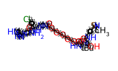 Cc1ncsc1-c1ccc(CNC(=O)C2C[C@@H](O)CN2C(=O)[C@@H](NC(=O)COCCOCCOCCOCCOCC(=O)N2CCN(CC[C@H](NC(=O)C3(N)CCN(c4ncnc5[nH]ccc45)CC3)c3ccc(Cl)cc3)CC2)C(C)(C)C)cc1